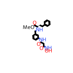 COC(=O)[C@H](CCc1ccccc1)NCc1cccc(NC(=O)CC(=O)NO)c1